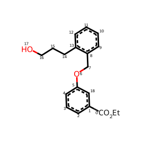 CCOC(=O)c1cccc(OCc2ccccc2CCCO)c1